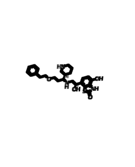 O=c1[nH]c2c(O)ccc([C@@H](O)CNC(CCOCCc3ccccc3)[C@@H]3CCCNC3)c2s1